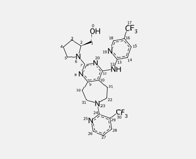 OC[C@@H]1CCCN1c1nc2c(c(Nc3ccc(C(F)(F)F)cn3)n1)CCN(c1ncccc1C(F)(F)F)CC2